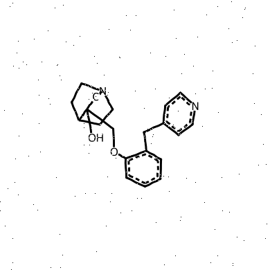 OC1(COc2ccccc2Cc2ccncc2)CN2CCC1CC2